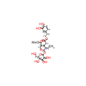 C/C=C1/[C@H](O[C@@H]2O[C@H](CO)[C@@H](O)[C@H](O)[C@H]2O)OC=C(C(=O)OC)[C@H]1CC(=O)OCCc1ccc(O)c(O)c1